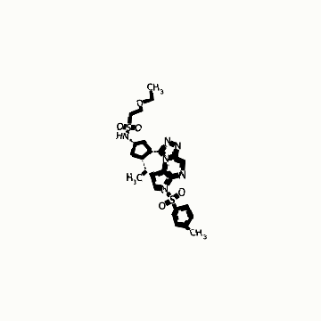 CCOCCS(=O)(=O)N[C@H]1C[C@@H](CC)[C@@H](c2nnc3cnc4c(ccn4S(=O)(=O)c4ccc(C)cc4)n23)C1